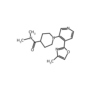 Cc1coc(-c2ccncc2N2CCC(C(=O)N(C)C)CC2)n1